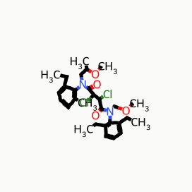 CCc1cccc(C)c1N(CC(C)OC)C(=O)C(Cl)C(Cl)C(=O)N(COC)c1c(CC)cccc1CC